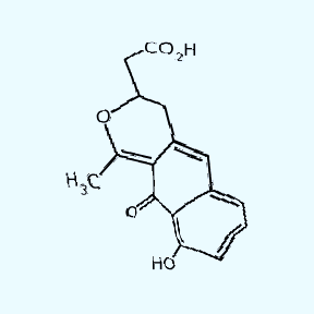 CC1=C2C(=O)c3c(O)cccc3C=C2CC(CC(=O)O)O1